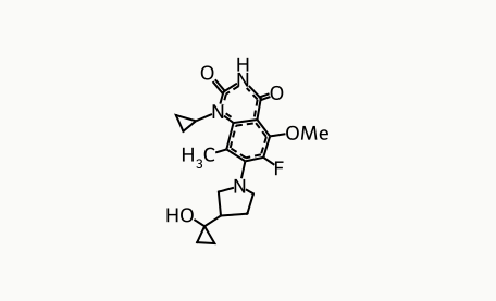 COc1c(F)c(N2CCC(C3(O)CC3)C2)c(C)c2c1c(=O)[nH]c(=O)n2C1CC1